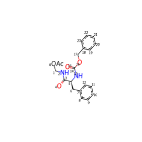 CC(=O)OCNC(=O)[C@H](Cc1ccccc1)NC(=O)OCc1ccccc1